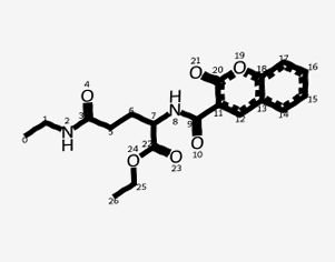 CCNC(=O)CCC(NC(=O)c1cc2ccccc2oc1=O)C(=O)OCC